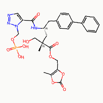 Cc1oc(=O)oc1COC(=O)[C@](C)(CO)C[C@@H](Cc1ccc(-c2ccccc2)cc1)NC(=O)c1cnnn1COP(=O)(O)O